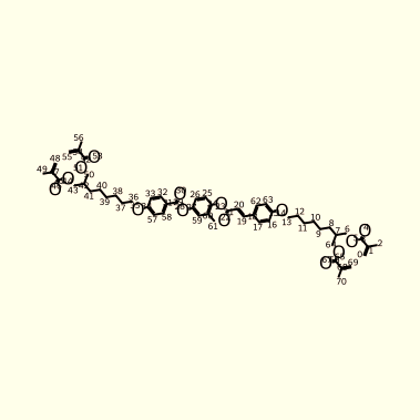 C=C(C)C(=O)OCC(CCCCCCOc1ccc(/C=C/C(=O)Oc2ccc(OC(=O)c3ccc(OCCCCCCC(COC(=O)C(=C)C)COC(=O)C(=C)C)cc3)cc2C)cc1)COC(=O)C(=C)C